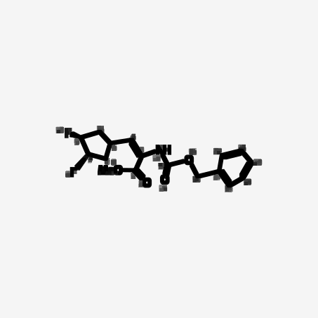 COC(=O)C(=CC1C[C@@H](F)[C@@H](F)C1)NC(=O)OCc1ccccc1